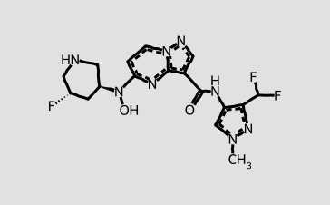 Cn1cc(NC(=O)c2cnn3ccc(N(O)[C@@H]4CNC[C@@H](F)C4)nc23)c(C(F)F)n1